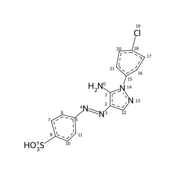 Nc1c(/N=N/c2ccc(S(=O)(=O)O)cc2)cnn1-c1ccc(Cl)cc1